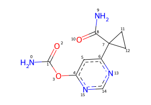 NC(=O)Oc1cc(C2(C(N)=O)CC2)ncn1